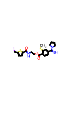 CSc1cc(C(=N)N2CC=CC2)ccc1C(=O)OCCNC(=O)c1ccc(CI)s1